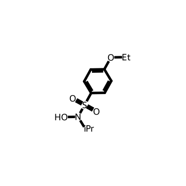 CCOc1ccc(S(=O)(=O)N(O)C(C)C)cc1